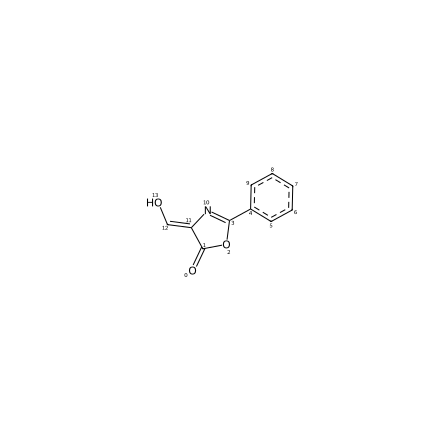 O=C1OC(c2ccccc2)=N/C1=C\O